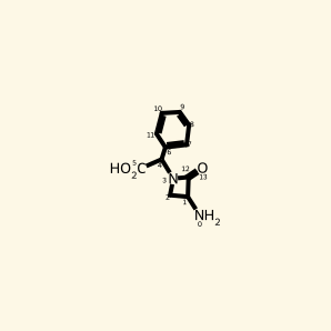 NC1CN(C(C(=O)O)c2ccccc2)C1=O